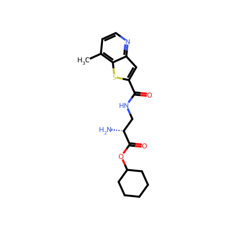 Cc1ccnc2cc(C(=O)NC[C@@H](N)C(=O)OC3CCCCC3)sc12